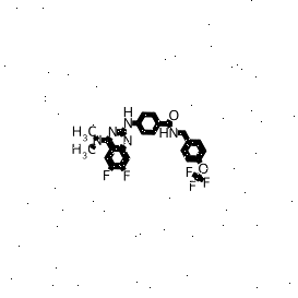 CN(C)c1nc(NC2CCC(C(=O)NCc3ccc(OC(F)(F)F)cc3)CC2)nc2cc(F)c(F)cc12